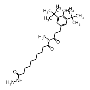 CC(C)(C)c1cc(CCC(=O)N(N)C(=O)CCCCCCCCC(=O)NN)cc(C(C)(C)C)c1O